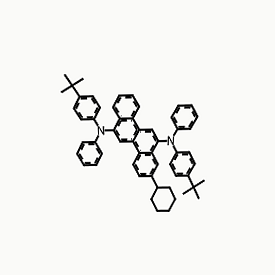 CC(C)(C)c1ccc(N(c2ccccc2)c2cc3c4ccc(C5CCCCC5)cc4c(N(c4ccccc4)c4ccc(C(C)(C)C)cc4)cc3c3ccccc23)cc1